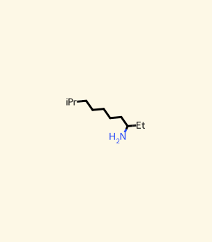 CCC(N)CCCCCC(C)C